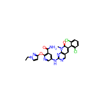 CCn1ccc(Oc2ncc(Nc3ncc4cc(-c5c(Cl)cccc5Cl)c(=O)n(C)c4n3)cc2C(N)=O)n1